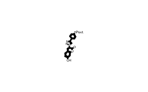 CCCCCc1ccc(-c2cn(-c3cc4ccc(O)cc4oc3=O)nn2)cc1